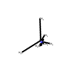 CCCCCCCCC1=C(c2ccc(CCCCC)cc2)[N+](=[N-])C(c2ccc(CC)cc2)=C1CC.CCCCCCCCCCCCCCCCCCCCCCCCCC[CH2][Ni][CH2]CCCCCCCCCCCCCCCCCCCCCCCCCC